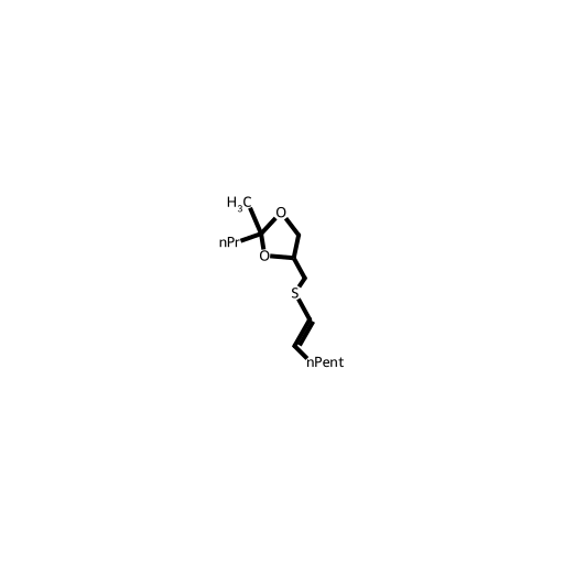 CCCCC/C=C/SCC1COC(C)(CCC)O1